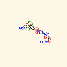 C[C@@H](CC(N)=O)CC(=O)NCCN1CCN(S(=O)(=O)c2cc(Cl)c(OC3CCNCC3)c(Cl)c2)CC1